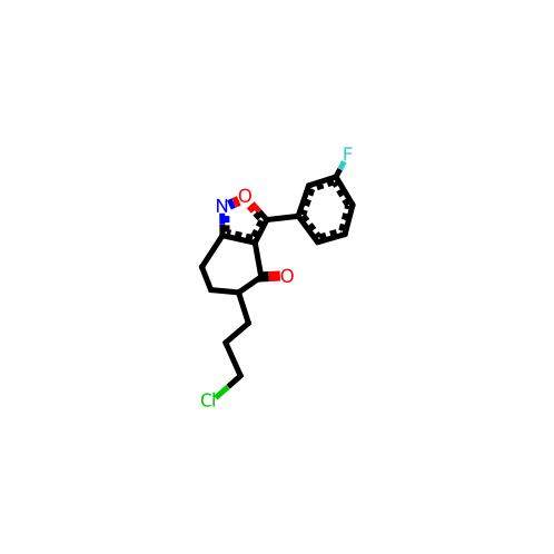 O=C1c2c(noc2-c2cccc(F)c2)CCC1CCCCl